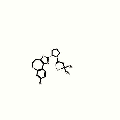 CC(C)(C)OC(=O)N1CCC[C@H]1c1nc2c(o1)CCOc1cc(Br)ccc1-2